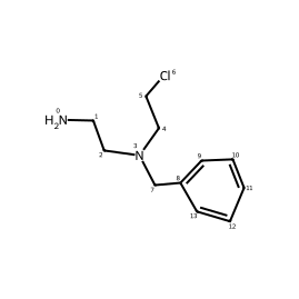 NCCN(CCCl)Cc1ccccc1